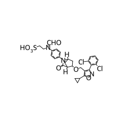 O=CN(CCS(=O)(=O)O)c1ccc(N2C(=O)[C@@H]3C[C@H]2C[C@H]3OCc2c(-c3c(Cl)cccc3Cl)noc2C2CC2)cc1